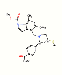 COC(=O)c1ccc([C@@H]2C[C@@H](SC(C)=O)CCN2Cc2c(OC)cc(C)c3c2ccn3C(=O)OC(C)(C)C)cc1